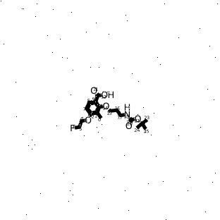 Cc1c(OCCF)ccc(C(=O)O)c1OCCCNC(=O)OC(C)(C)C